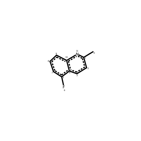 Cc1ccc2c(F)cccc2n1